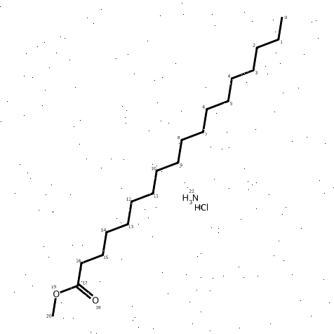 CCCCCCCCCCCCCCCCCC(=O)OC.Cl.N